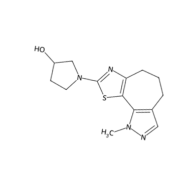 Cn1ncc2c1-c1sc(N3CCC(O)C3)nc1CCC2